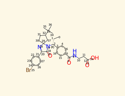 CC[C@H](c1ccc(C(=O)NCCC(=O)O)cc1)N1C(=O)C(c2ccc(Br)cc2)=NC12CCC(C(C)(C)C)C2